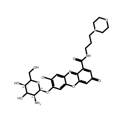 N[C@H]1C(O)[C@@H](O)C(CO)O[C@H]1Oc1cc2oc3cc(=O)cc(C(=O)NCCCN4CCOCC4)c-3nc2cc1Cl